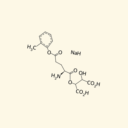 Cc1ccccc1OC(=O)CC[C@H](N)C(=O)OC(C(=O)O)C(O)C(=O)O.[NaH]